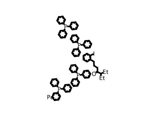 CCC(CC)C(=O)CCCc1ccccc1I.[Pd].c1ccc(P(c2ccccc2)c2ccccc2)cc1.c1ccc(P(c2ccccc2)c2ccccc2)cc1.c1ccc(P(c2ccccc2)c2ccccc2)cc1.c1ccc(P(c2ccccc2)c2ccccc2)cc1